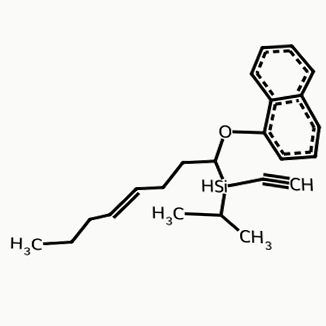 C#C[SiH](C(C)C)C(CC/C=C/CCC)Oc1cccc2ccccc12